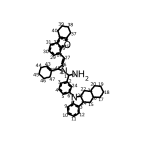 NC(c1cccc(N2c3ccccc3C3CC4CCCCC4CC32)c1)N1/C(=C/c2cccc3c4c(oc23)CCCC4)C1C1=CCCCC1